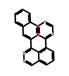 [c]1nnc(-c2cc3ccccc3nn2)c2c(-c3ncncn3)cccc12